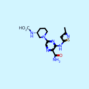 Cc1cc(Nc2nc(N3CCC[C@@H](NC(=O)O)C3)cnc2C(N)=O)sn1